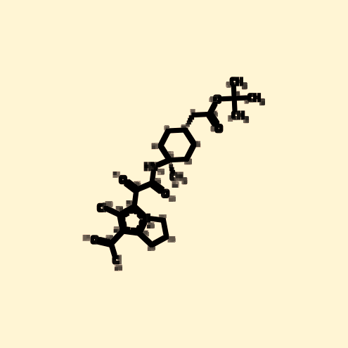 CC(C)(C)OC(=O)C[C@H]1CC[C@](C)(NC(=O)C(=O)c2c(Cl)c(C(=O)Cl)c3n2CCC3)CC1